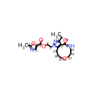 CCc1nn(CCOC(=O)c2cnc(C)o2)c2c1C(=O)NCCCOCCC2